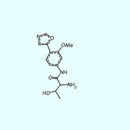 COc1cc(NC(=O)C(N)C(C)O)ccc1-c1cnco1